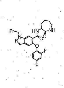 CC(C)Cn1ncc2cc(Oc3ccc(F)cc3F)c(C(=O)NC3CCCCNC3=O)cc21